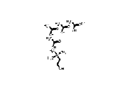 CC(=O)O.CC(=O)O.CC(=O)O.CC(=O)O.C[N+](C)(C)CCO.[Cl-]